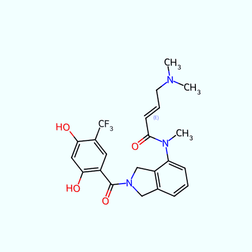 CN(C)C/C=C/C(=O)N(C)c1cccc2c1CN(C(=O)c1cc(C(F)(F)F)c(O)cc1O)C2